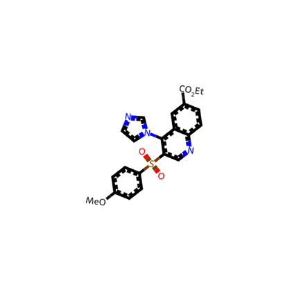 CCOC(=O)c1ccc2ncc(S(=O)(=O)c3ccc(OC)cc3)c(-n3ccnc3)c2c1